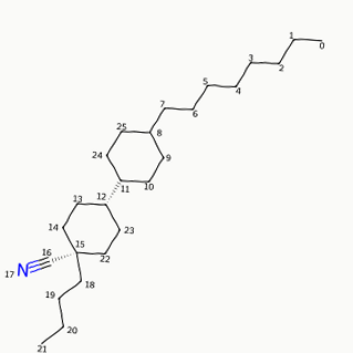 CCCCCCCCC1CCC([C@H]2CC[C@](C#N)(CCCC)CC2)CC1